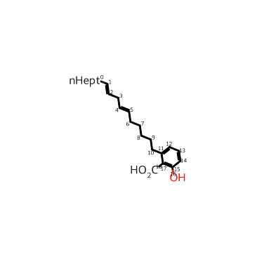 CCCCCCCC=CCC=CCCCCCc1cccc(O)c1C(=O)O